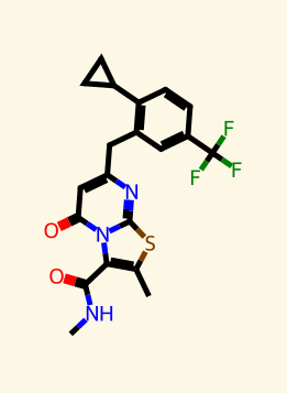 CNC(=O)c1c(C)sc2nc(Cc3cc(C(F)(F)F)ccc3C3CC3)cc(=O)n12